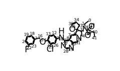 CCN(C(C)C1(c2cc3c(Nc4ccc(OCc5cccc(F)c5)c(Cl)c4)ncnc3cn2)CC=CO1)S(=O)(=O)CC